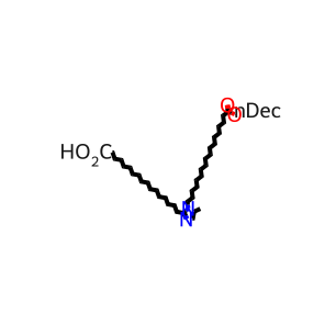 CCCCCCCCCCOC(=O)CCCCCCCCCCCCCCCCCN1C(CCCCCCCCCCCCCCCCC(=O)O)=NCC1C